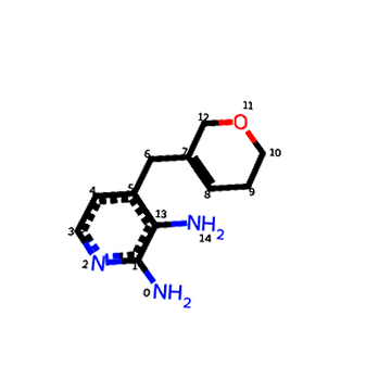 Nc1nccc(CC2=CCCOC2)c1N